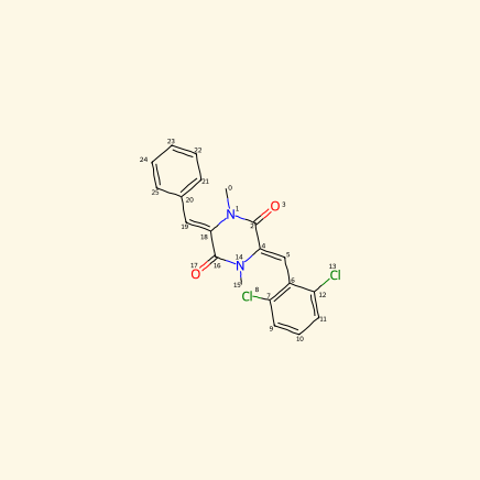 Cn1c(=O)/c(=C/c2c(Cl)cccc2Cl)n(C)c(=O)/c1=C/c1ccccc1